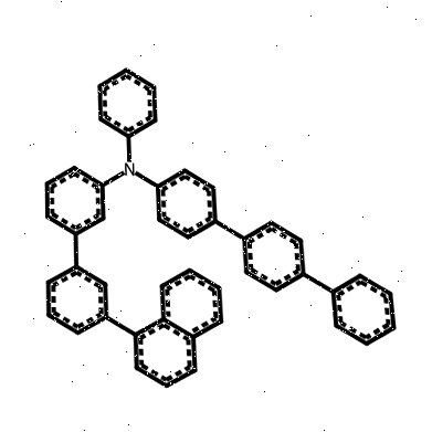 c1ccc(-c2ccc(-c3ccc(N(c4ccccc4)c4cccc(-c5cccc(-c6cccc7ccccc67)c5)c4)cc3)cc2)cc1